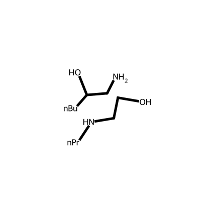 CCCCC(O)CN.CCCNCCO